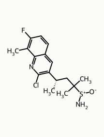 Cc1c(F)ccc2cc([C@@H](C)CC(C)(C)[S+](N)[O-])c(Cl)nc12